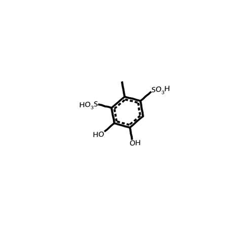 Cc1c(S(=O)(=O)O)cc(O)c(O)c1S(=O)(=O)O